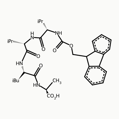 CC[C@H](C)[C@H](NC(=O)[C@@H](NC(=O)[C@@H](NC(=O)OCC1c2ccccc2-c2ccccc21)C(C)C)C(C)C)C(=O)N[C@@H](C)C(=O)O